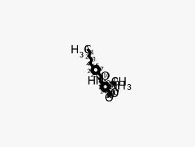 CCCCCc1ccc(C(=O)Nc2ccc([N+](=O)[O-])c(NC)c2)cc1